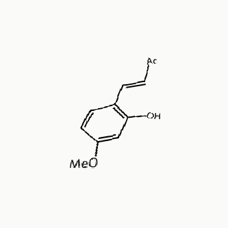 COc1ccc(C=CC(C)=O)c(O)c1